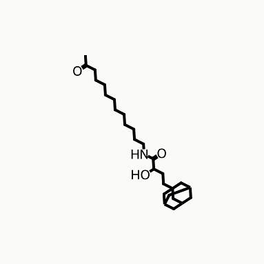 CC(=O)CCCCCCCCCCCNC(=O)C(O)CCC12CC3CC(CC(C3)C1)C2